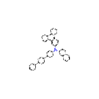 c1ccc(-c2ccc(-c3ccc(N(c4ccc5ccccc5c4)c4ccc5c6ccccc6c6ccccc6c5c4)cc3)cc2)cc1